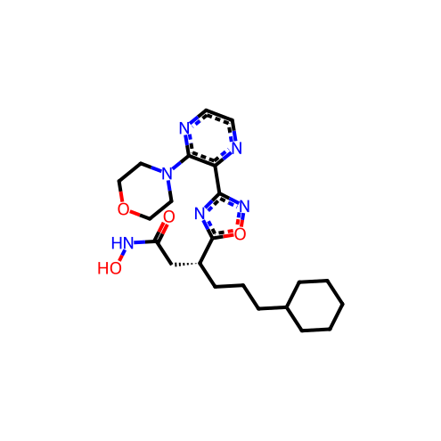 O=C(C[C@@H](CCCC1CCCCC1)c1nc(-c2nccnc2N2CCOCC2)no1)NO